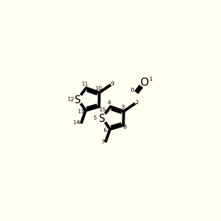 C=O.Cc1csc(C)c1.Cc1csc(C)c1